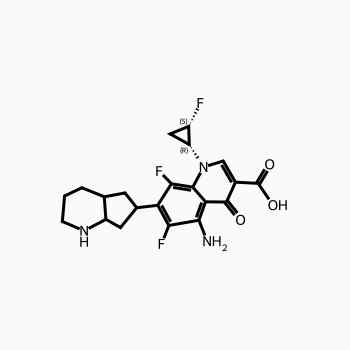 Nc1c(F)c(C2CC3CCCNC3C2)c(F)c2c1c(=O)c(C(=O)O)cn2[C@@H]1C[C@@H]1F